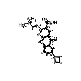 CN(C)C=Nc1nc2oc3ccc(C4CCC4)cc3c(=O)c2cc1C(=O)O